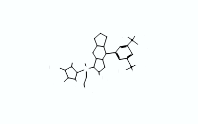 CCC[Si](C)(C1C(C)C(C)C(C)C1C)C1C(C)CC2C1CC1CCCC1C2c1cc(C(C)(C)C)cc(C(C)(C)C)c1